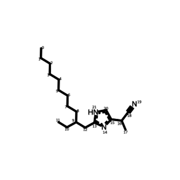 CCCCCCCCCC(CC)Cc1nc(C(C)C#N)c[nH]1